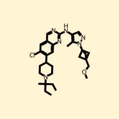 CCC(C)(CC)N1CCC(c2cc3nc(Nc4cnn(C56CC(COC)(C5)C6)c4C)ncc3cc2Cl)CC1